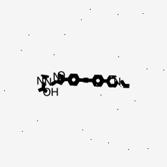 C=CCN1CCC(c2ccc(C#Cc3ccc(-c4cc(Cn5ccnc5C(C)O)no4)cc3)cc2)CC1